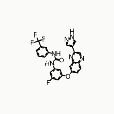 O=C(Nc1cc(F)cc(Oc2ccc3ncc(-c4cn[nH]c4)nc3c2)c1)Nc1cccc(C(F)(F)F)c1